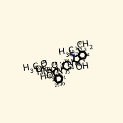 C=Cc1cccc2c1/C(=C\C)C(N1CCC(N3C(=O)C(O)(CNC(=O)OC)c4ccccc43)CC1)[C@@H]2O